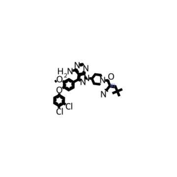 COc1cc(-c2nn(C3CCN(C(=O)/C(C#N)=C/C(C)(C)C)CC3)c3ncnc(N)c23)ccc1Oc1ccc(Cl)c(Cl)c1